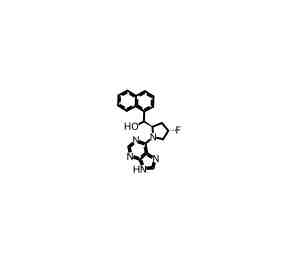 OC(c1cccc2ccccc12)[C@H]1C[C@H](F)CN1c1ncnc2[nH]cnc12